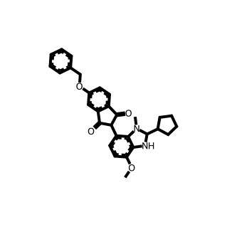 COc1ccc(C2C(=O)c3ccc(OCc4ccccc4)cc3C2=O)c2c1NC(C1CCCC1)N2C